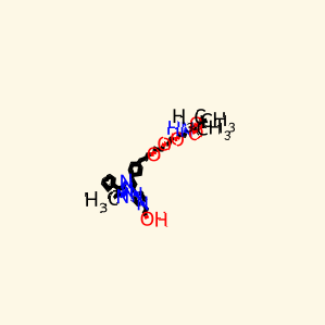 Cc1nn2c(N3CCN(CCO)CC3)cc(-c3ccc(CCCOCCOCCOCCNC(=O)OC(C)(C)C)cc3)nc2c1-c1ccccc1